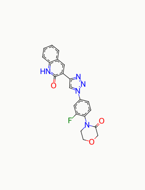 O=C1COCCN1c1ccc(-n2cc(-c3cc4ccccc4[nH]c3=O)nn2)cc1F